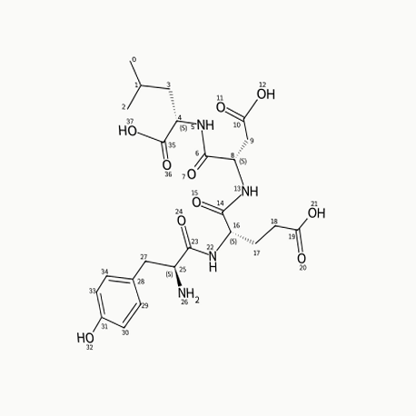 CC(C)C[C@H](NC(=O)[C@H](CC(=O)O)NC(=O)[C@H](CCC(=O)O)NC(=O)[C@@H](N)Cc1ccc(O)cc1)C(=O)O